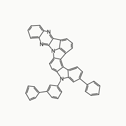 c1ccc(-c2cccc(-n3c4cc(-c5ccccc5)ccc4c4c5c6cccc7c8nc9ccccc9nc8n(c5ccc43)c76)c2)cc1